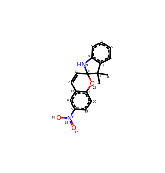 CC1(C)c2ccccc2NC12C=Cc1cc([N+](=O)[O-])ccc1O2